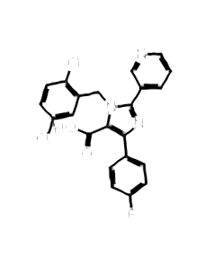 O=C(O)c1c(-c2ccc(F)cc2)nc(-c2cccnc2)n1Cc1cc(Cl)ccc1Cl